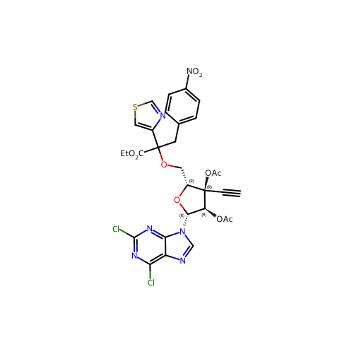 C#C[C@@]1(OC(C)=O)[C@@H](COC(Cc2ccc([N+](=O)[O-])cc2)(C(=O)OCC)c2cscn2)O[C@@H](n2cnc3c(Cl)nc(Cl)nc32)[C@@H]1OC(C)=O